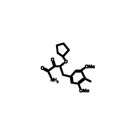 COc1cc(CC(OC2CCCC2)C(=O)C(N)=O)cc(OC)c1C